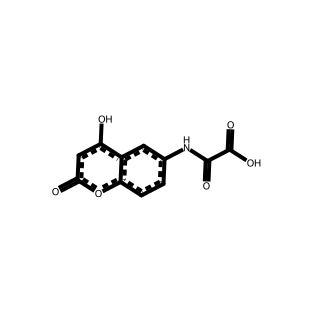 O=C(O)C(=O)Nc1ccc2oc(=O)cc(O)c2c1